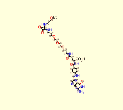 CCOCCCNc1c(NCCCOCCOCCOCCCNC(=O)CC[C@H](NC(=O)c2ccc(NCc3cnc4nc(N)[nH]c(=O)c4n3)cc2)C(=O)O)c(=O)c1=O